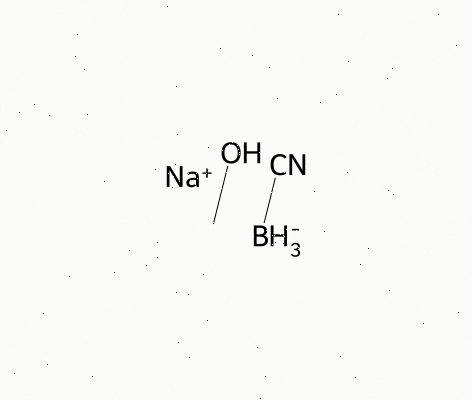 CO.[BH3-]C#N.[Na+]